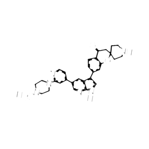 CN1CCN(c2cc(-c3cnc4[nH]cc(-c5ccc6c(c5)OC5(CCNCC5)CC6=O)c4c3)ccn2)CC1